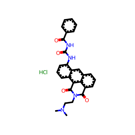 CN(C)CCN1C(=O)c2cccc3cc4c(NC(=O)NC(=O)c5ccccc5)cccc4c(c23)C1=O.Cl